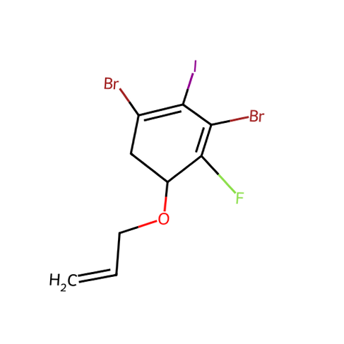 C=CCOC1CC(Br)=C(I)C(Br)=C1F